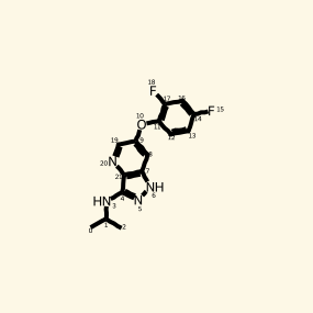 CC(C)Nc1n[nH]c2cc(Oc3ccc(F)cc3F)cnc12